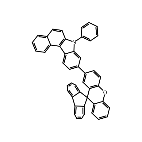 c1ccc(-n2c3cc(-c4ccc5c(c4)C4(c6ccccc6O5)c5ccccc5-c5ccccc54)ccc3c3c4ccccc4ccc32)cc1